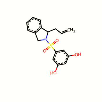 C=CCC1c2ccccc2CN1S(=O)(=O)c1cc(O)cc(O)c1